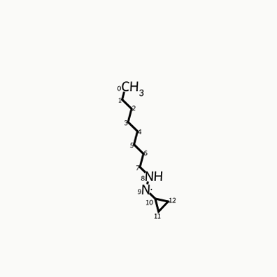 CCCCCCCCN[N]C1CC1